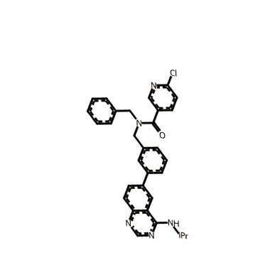 CC(C)Nc1ncnc2ccc(-c3cccc(CN(Cc4ccccc4)C(=O)c4ccc(Cl)nc4)c3)cc12